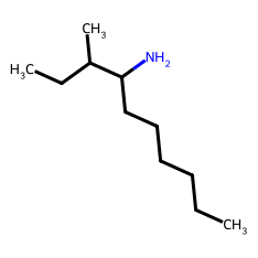 CCCCCCC(N)C(C)CC